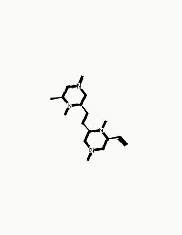 C=C[C@H]1CN(C)C[C@@H](CC[C@@H]2CN(C)C[C@H](C)N2C)N1C